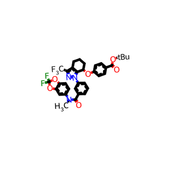 CN(C(=O)c1cccc(-n2nc(C(F)(F)F)c3c2C(Oc2ccc(C(=O)OC(C)(C)C)cc2)CCC3)c1)c1ccc2c(c1)OC(F)(F)O2